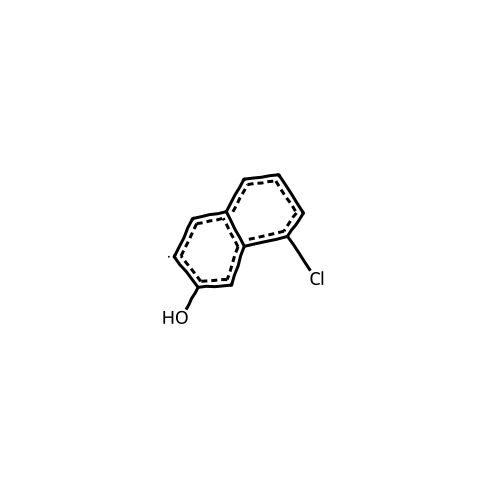 Oc1[c]cc2cccc(Cl)c2c1